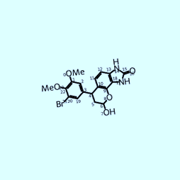 COc1cc(C2CC(O)Oc3c2ccc2[nH]c(=O)[nH]c32)cc(Br)c1OC